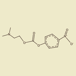 CN(C)CCOC(=O)Oc1ccc([N+](=O)[O-])cc1